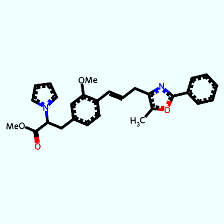 COC(=O)C(Cc1ccc(/C=C/Cc2nc(-c3ccccc3)oc2C)c(OC)c1)n1cccc1